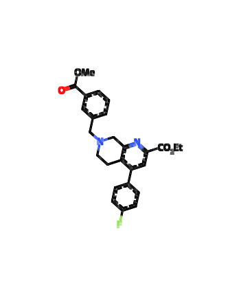 CCOC(=O)c1cc(-c2ccc(F)cc2)c2c(n1)CN(Cc1cccc(C(=O)OC)c1)CC2